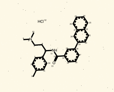 Cc1ccc(C(CCN(C)C)NC(=O)c2cccc(-c3ccc4ccccc4c3)c2)cc1.Cl